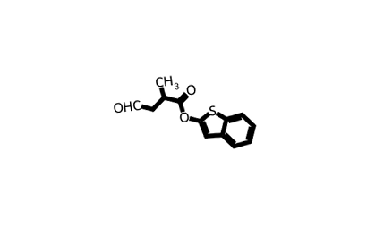 CC(CC=O)C(=O)Oc1cc2ccccc2s1